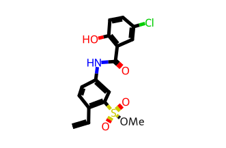 C=Cc1ccc(NC(=O)c2cc(Cl)ccc2O)cc1S(=O)(=O)OC